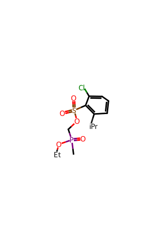 CCOP(C)(=O)COS(=O)(=O)c1c(Cl)cccc1C(C)C